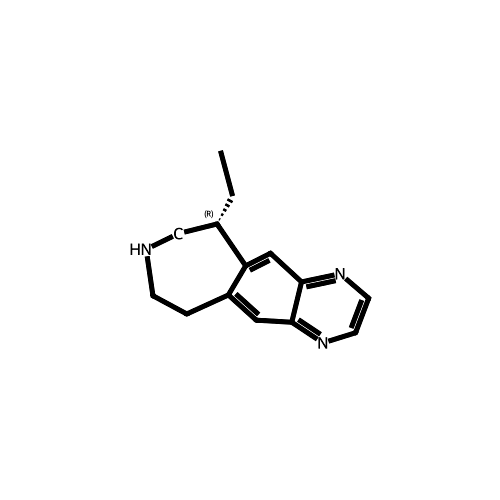 CC[C@H]1CNCCc2cc3nccnc3cc21